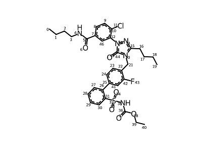 CCCCNC(=O)c1ccc(Cl)c(-n2nc(CCCC)n(Cc3ccc(-c4ccccc4S(=O)(=O)NC(=O)OCC)cc3F)c2=O)c1